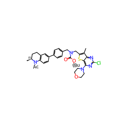 CC(=O)N1c2ccc(-c3ccc(CN(Cc4sc5c(N6CCOCC6)nc(Cl)nc5c4C)C(=O)OC(C)(C)C)cc3)cc2CC[C@@H]1C